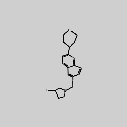 FC1CCN(Cc2ccc3nc(C4CCOCC4)ccc3c2)C1